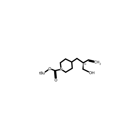 C=C[C@@H](CO)CC1CCN(C(=O)OC(C)(C)C)CC1